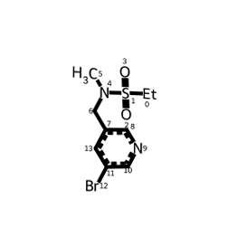 CCS(=O)(=O)N(C)Cc1cncc(Br)c1